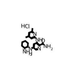 Cc1cc(C)nc(Nc2cc(N[C@@H]3CCCC[C@@H]3N)cnc2C(N)=O)c1.Cl